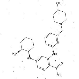 CN1CCN(Cc2cccc(Nc3cc(N[C@@H]4CCCC[C@@H]4N)cnc3C(N)=O)n2)CC1